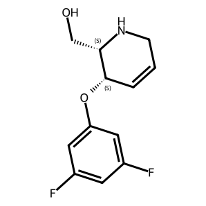 OC[C@@H]1NCC=C[C@@H]1Oc1cc(F)cc(F)c1